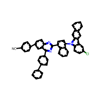 N#Cc1ccc(-c2ccc3nc(-c4ccc(-n5c6ccc(Cl)cc6c6cc7ccccc7cc65)c5ccccc45)nc(-c4ccc(-c5ccccc5)cc4)c3c2)cc1